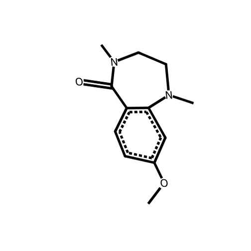 COc1ccc2c(c1)N(C)CCN(C)C2=O